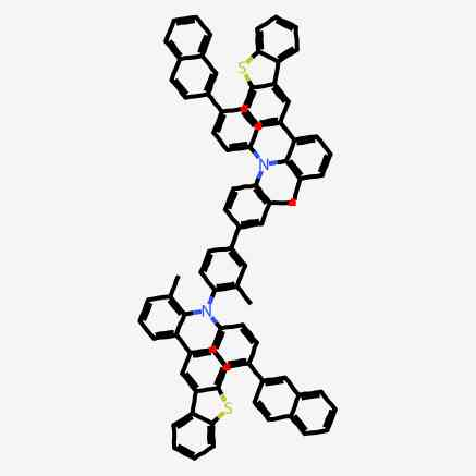 Cc1cc(-c2ccc(N(c3ccc(-c4ccc5ccccc5c4)cc3)c3c(C)cccc3-c3ccc4sc5ccccc5c4c3)c(C)c2)ccc1N(c1ccc(-c2ccc3ccccc3c2)cc1)c1c(C)cccc1-c1ccc2sc3ccccc3c2c1